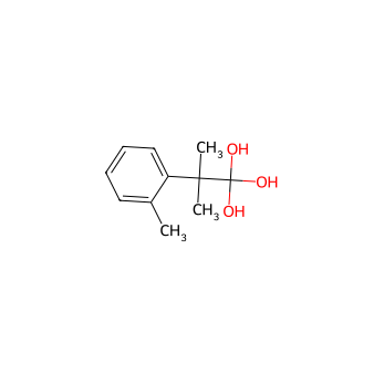 Cc1ccccc1C(C)(C)C(O)(O)O